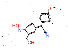 COc1ccc(C(C#N)=C2C=CC(=NO)C(CO)=C2)cc1